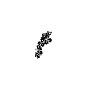 COC(=O)N[C@H](C(=O)N1CCC[C@H]1c1nc2cc([C@H]3CC[C@H](c4ccc5[nH]c([C@@H]6CCCN6C(=O)[C@H](C(C)C)N(C)C(=O)O)nc5c4)N3c3cccc(-c4ccc(N5CCOCC5)nc4)c3)ccc2[nH]1)C(C)C